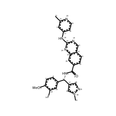 COc1ccc([C@H](NC(=O)c2ccc3cnc(Nc4ccnc(C)c4)nc3c2)c2cnn(C)c2)cc1F